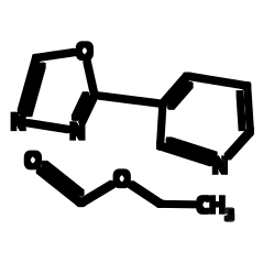 CCOC=O.c1cncc(-c2nnco2)c1